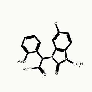 COC(=O)C(c1ccccc1OC)n1c(=O)n(C(=O)O)c2ccc(Cl)cc21